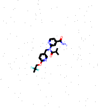 CC(C)C(=O)N(Cc1ccc(OCC(C)(F)F)nc1)c1cc(C(N)=O)ccn1